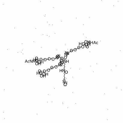 CC(=O)N[C@H]1[C@H]2OC[C@](COCCOCCOCCOCCn3cc(COCC(COCc4cn(CCOCCOCCOCCOC[C@@]56CO[C@@H](O5)[C@H](NC(C)=O)[C@@H](O)[C@H]6O)nn4)(COCc4cn(CCOCCOCCOCCOC[C@]56CO[C@H](C[C@@H](O)[C@H]5O)O6)nn4)NC(=O)CCCCCNC(=O)CCCCCSSc4ccccn4)nn3)(O2)[C@H](O)[C@@H]1O